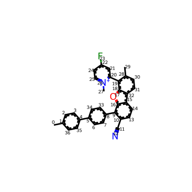 Cc1ccc(-c2ccc(-c3c(C#N)ccc4c3oc3c(-c5cc(F)cc[n+]5C)c(C)ccc34)cc2)cc1